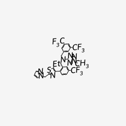 CCc1sc(Cn2cccn2)nc1-c1ccc(C(F)(F)F)cc1CN(Cc1cc(C(F)(F)F)cc(C(F)(F)F)c1)c1nnn(C)n1